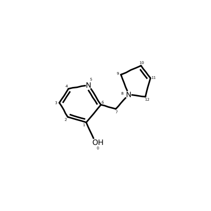 Oc1cccnc1CN1CC=CC1